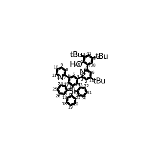 CC(C)(C)c1cc(-c2cc(-c3ccccn3)cc([Si](c3ccccc3)(c3ccccc3)c3ccccc3)c2)nc(-c2cc(C(C)(C)C)cc(C(C)(C)C)c2O)c1